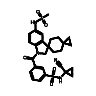 CS(=O)(=O)Nc1ccc2c(c1)C1(CCC3(CC3)CC1)CN2C(=O)c1cccc(S(=O)(=O)NC2(C#N)CC2)c1